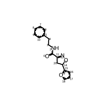 O=C(NCCc1ccccc1)C1=NOC(c2ccco2)C1